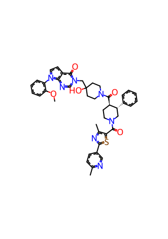 COc1ccccc1-n1ccc2c(=O)n(CC3(O)CCN(C(=O)[C@@H]4CCN(C(=O)c5sc(-c6ccc(C)nc6)nc5C)C[C@H]4c4ccccc4)CC3)cnc21